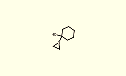 OC1(N2CC2)CCCCC1